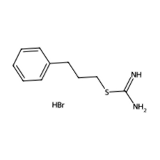 Br.N=C(N)SCCCc1ccccc1